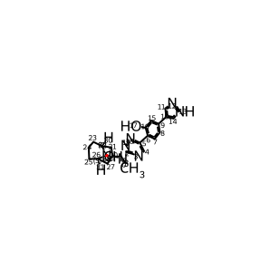 CN(c1ncc(-c2ccc(-c3cn[nH]c3)cc2O)nn1)C1C[C@H]2CCC[C@@H](C1)N2C